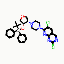 CC(C)(C)[Si](O[C@@H]1COC[C@@H]1N1CCN(c2nc3nc(Cl)ncc3cc2Cl)CC1)(c1ccccc1)c1ccccc1